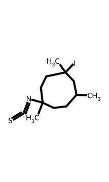 CC1CCC(C)(N=C=S)CCC(C)(I)C1